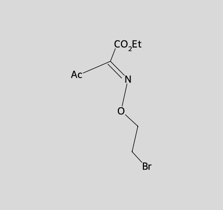 CCOC(=O)C(=NOCCBr)C(C)=O